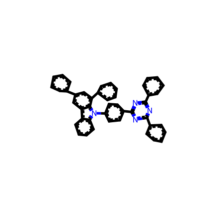 c1ccc(-c2cc(-c3ccccc3)c3c(c2)c2ccccc2n3-c2ccc(-c3nc(-c4ccccc4)nc(-c4ccccc4)n3)cc2)cc1